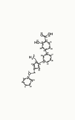 Cc1nc(COc2ccccn2)sc1-c1cccc(-c2ccc(C(=O)O)c(O)c2)c1